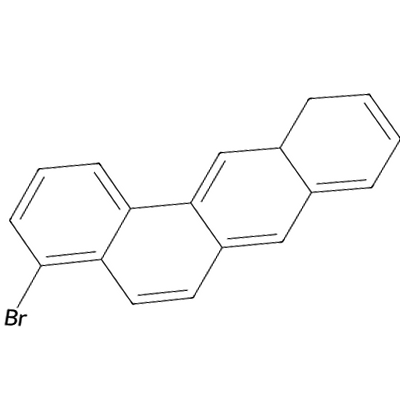 Brc1cccc2c3c(ccc12)=CC1=CC=CCC1C=3